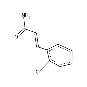 NC(=O)/C=C/c1ccccc1Cl